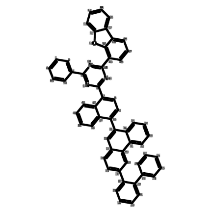 c1ccc(-c2nc(-c3ccc(-c4cc5ccc(-c6ccccc6-c6ccccc6)cc5c5ccccc45)c4ccccc34)nc(-c3cccc4c3oc3ccccc34)n2)cc1